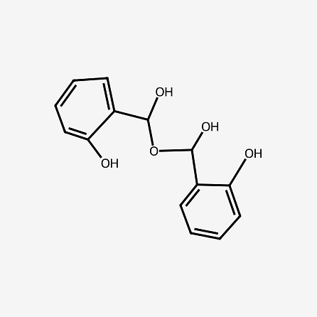 Oc1ccccc1C(O)OC(O)c1ccccc1O